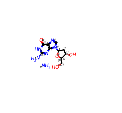 N.Nc1nc2c(ncn2C2C[C@H](O)[C@@H](CO)O2)c(=O)[nH]1